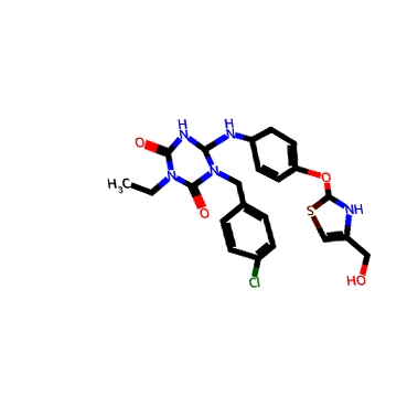 CCN1C(=O)NC(NC2C=CC(OC3NC(CO)=CS3)=CC2)N(Cc2ccc(Cl)cc2)C1=O